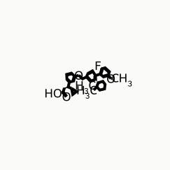 COc1ccc(F)c(-c2ccc(COc3cccc([C@H](CC(=O)O)C4CC4)c3)cc2[C@@H]2CCCCC2(C)C)c1